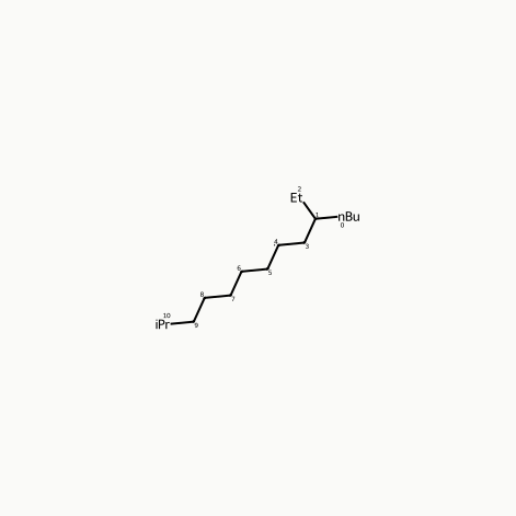 CCCCC(CC)C[CH]CCCCCC(C)C